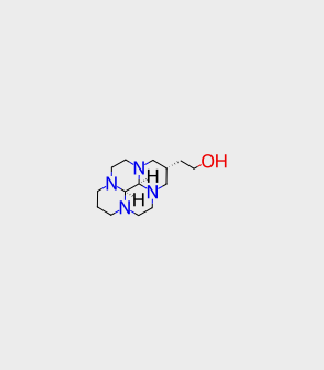 OCC[C@H]1CN2CCN3CCCN4CCN(C1)[C@H]2[C@@H]43